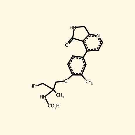 CC(C)CC(C)(COc1ccc(-c2ccnc3c2C(=O)NC3)cc1C(F)(F)F)NC(=O)O